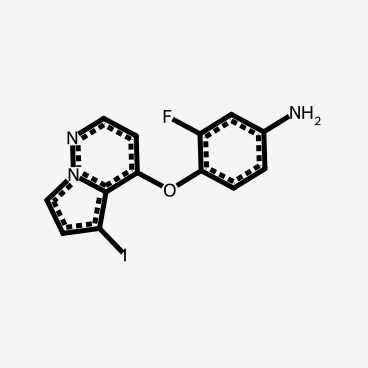 Nc1ccc(Oc2ccnn3ccc(I)c23)c(F)c1